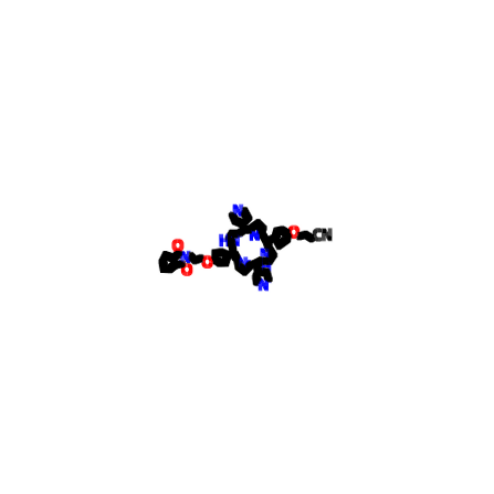 N#CCCCOc1ccc(-c2c3nc(c(-c4ccncc4)c4ccc([nH]4)c(-c4ccc(OCCCN5C(=O)c6ccccc6C5=O)cc4)c4nc(c(-c5ccncc5)c5ccc2[nH]5)C=C4)C=C3)cc1